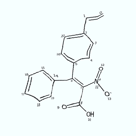 C=Cc1ccc(C(=C(C(=O)O)[N+](=O)[O-])c2ccccc2)cc1